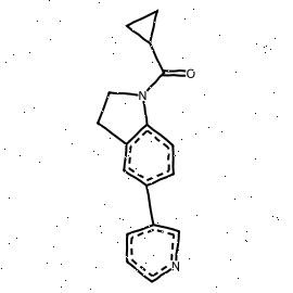 O=C(C1CC1)N1CCc2cc(-c3cccnc3)ccc21